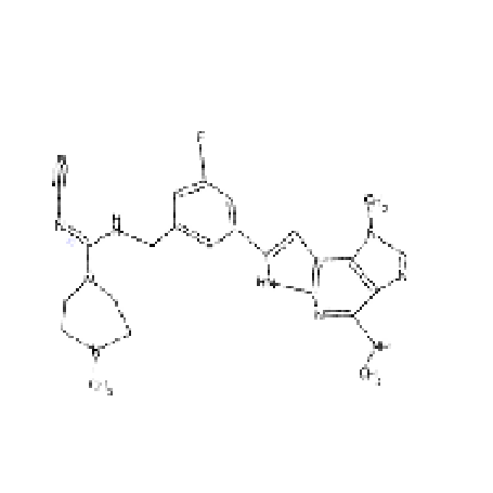 CNc1nc2[nH]c(-c3cc(F)cc(CN/C(=N\C#N)N4CCN(C)CC4)c3)cc2c2c1ncn2C